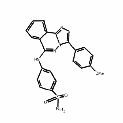 COc1ccc(-c2nnc3c4ccccc4c(Nc4ccc(S(N)(=O)=O)cc4)nn23)cc1